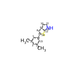 Cc1cc(C)cc(-c2cc3cc[nH]c3s2)c1